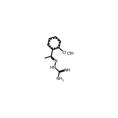 CC(=NNC(=N)N)c1ccccc1Cl.Cl